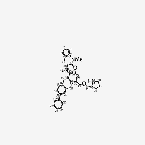 CNC(=O)[C@@H](Cc1cccs1)N(C)C(=O)[C@@H](Cc1ccc(-c2ccccc2)cc1)N(C)C(=O)COC[C@@H]1CCCN1